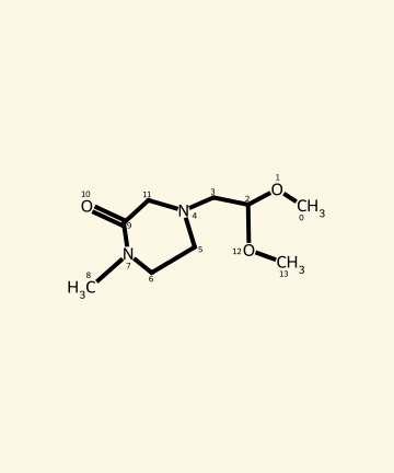 COC(CN1CCN(C)C(=O)C1)OC